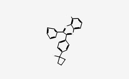 NC1(c2ccc(-c3nc4cccc(O)c4nc3-c3ccccc3)cc2)CCC1